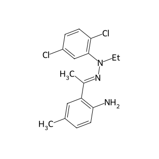 CCN(/N=C(\C)c1cc(C)ccc1N)c1cc(Cl)ccc1Cl